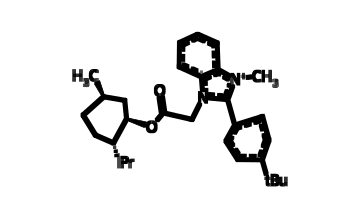 CC(C)[C@@H]1CC[C@@H](C)C[C@H]1OC(=O)Cn1c(-c2ccc(C(C)(C)C)cc2)[n+](C)c2ccccc21